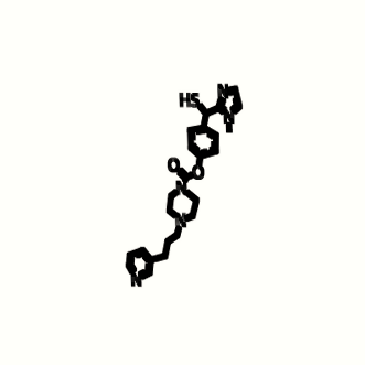 Cn1ccnc1C(S)c1ccc(OC(=O)N2CCN(CCCc3cccnc3)CC2)cc1